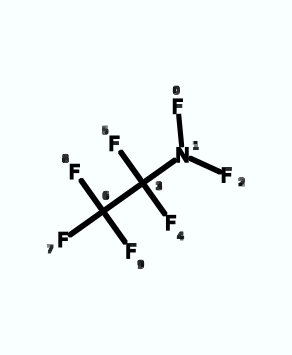 FN(F)C(F)(F)C(F)(F)F